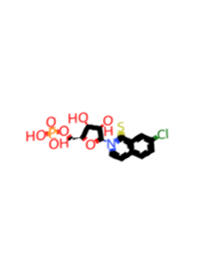 O=P(O)(O)OC[C@H]1O[C@@H](n2ccc3ccc(Cl)cc3c2=S)[C@H](O)[C@H]1O